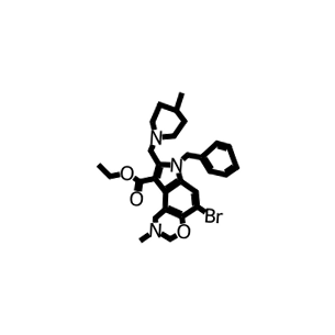 CCOC(=O)c1c(CN2CCC(C)CC2)n(Cc2ccccc2)c2cc(Br)c3c(c12)CN(C)CO3